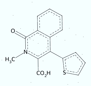 Cn1c(C(=O)O)c(-c2cccs2)c2ccccc2c1=O